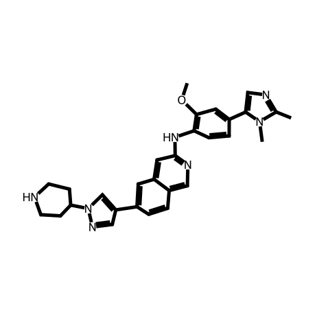 COc1cc(-c2cnc(C)n2C)ccc1Nc1cc2cc(-c3cnn(C4CCNCC4)c3)ccc2cn1